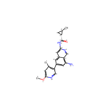 CCOc1cc(CC)c(-c2cc(N)c3cnc(NC(=O)[C@@H]4C[C@H]4C#N)cc3c2)cn1